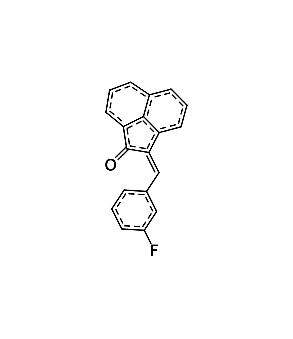 O=c1c(=Cc2cccc(F)c2)c2cccc3cccc1c32